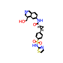 O=C(Nc1ccc2cncc(CO)c2c1)[C@@H]1C[C@H]1c1ccc(S(=O)(=O)Nc2nccs2)cc1